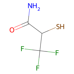 NC(=O)C(S)C(F)(F)F